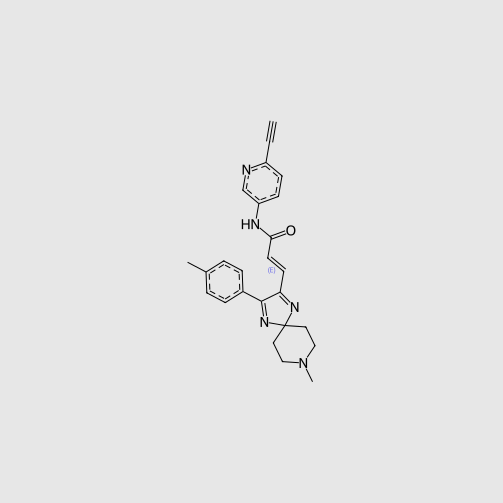 C#Cc1ccc(NC(=O)/C=C/C2=NC3(CCN(C)CC3)N=C2c2ccc(C)cc2)cn1